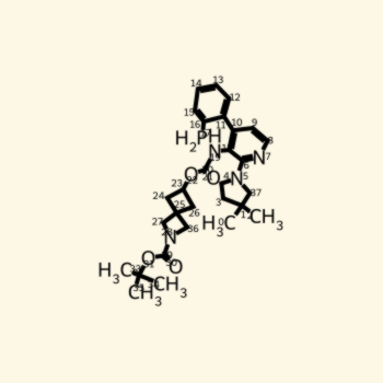 CC1(C)CCN(c2nccc(-c3ccccc3P)c2NC(=O)OC2CC3(C2)CN(C(=O)OC(C)(C)C)C3)C1